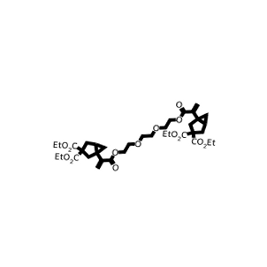 C=C(C(=O)OCCOCCOCCOC(=O)C(=C)C12CC1CC(C(=O)OCC)(C(=O)OCC)C2)C12CC1CC(C(=O)OCC)(C(=O)OCC)C2